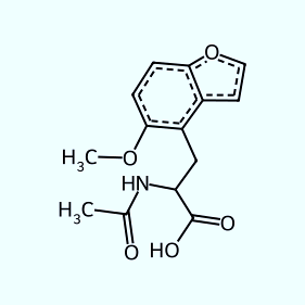 COc1ccc2occc2c1CC(NC(C)=O)C(=O)O